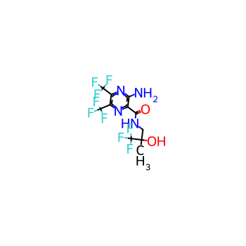 CC(O)(CNC(=O)c1nc(C(F)(F)F)c(C(F)(F)F)nc1N)C(F)(F)F